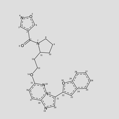 O=C(c1cnoc1)N1CCCC1CCOc1ccc2ncc(-c3cc4ccccc4o3)n2n1